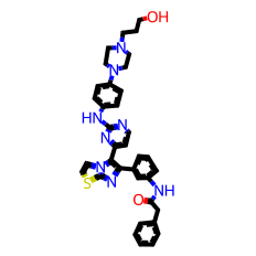 O=C(Cc1ccccc1)Nc1cccc(-c2nc3sccn3c2-c2ccnc(Nc3ccc(N4CCN(CCCO)CC4)cc3)n2)c1